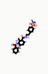 Cc1c(C(=O)NCCc2ccc(S(=O)(=O)N(C)C)cc2)ccc2c1NC(=O)c1ccccc1S2